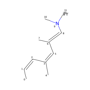 C\C=C/C(C)=C\C(C)=C\N(C)C(C)C